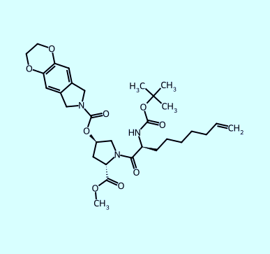 C=CCCCCC[C@H](NC(=O)OC(C)(C)C)C(=O)N1C[C@H](OC(=O)N2Cc3cc4c(cc3C2)OCCO4)C[C@H]1C(=O)OC